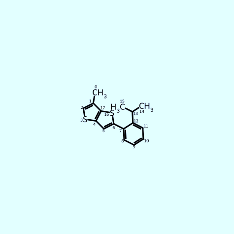 Cc1csc2cc(-c3ccccc3C(C)C)sc12